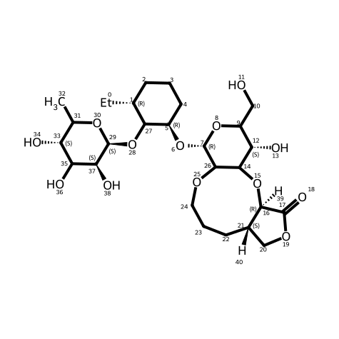 CC[C@@H]1CCC[C@@H](O[C@@H]2OC(CO)[C@H](O)C3O[C@H]4C(=O)OC[C@@H]4CCCOC32)C1O[C@@H]1OC(C)[C@@H](O)C(O)[C@@H]1O